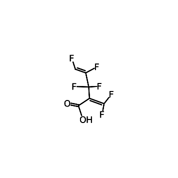 O=C(O)C(=C(F)F)C(F)(F)C(F)=CF